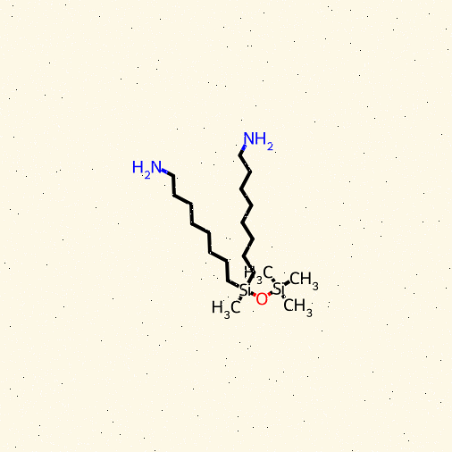 C[Si](C)(C)O[Si](C)(CCCCCCCCN)CCCCCCCCN